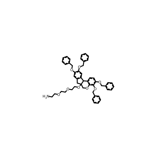 NCCOCCOCCOC12COc3c(ccc(OCc4ccccc4)c3OCc3ccccc3)C1c1cc(OCc3ccccc3)c(OCc3ccccc3)cc1C2